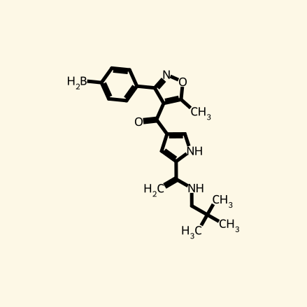 Bc1ccc(-c2noc(C)c2C(=O)c2c[nH]c(C(=C)NCC(C)(C)C)c2)cc1